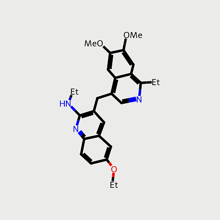 CCNc1nc2ccc(OCC)cc2cc1Cc1cnc(CC)c2cc(OC)c(OC)cc12